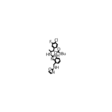 CC(Nc1nc2c(CNc3ncco3)cccc2[nH]1)C(OC(=O)C(C)(C)C)c1ccc(Cl)c(F)c1